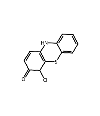 O=C1C=CC2=C(Sc3ccccc3N2)C1Cl